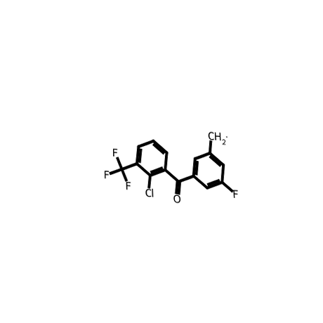 [CH2]c1cc(F)cc(C(=O)c2cccc(C(F)(F)F)c2Cl)c1